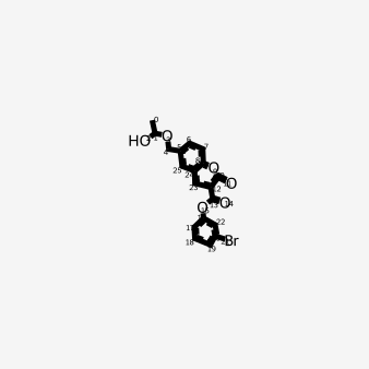 CC(O)OCc1ccc2oc(=O)c(C(=O)Oc3cccc(Br)c3)cc2c1